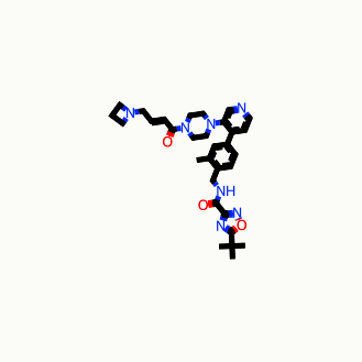 Cc1cc(-c2ccncc2N2CCN(C(=O)/C=C/CN3CCC3)CC2)ccc1CNC(=O)c1noc(C(C)(C)C)n1